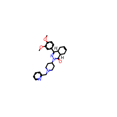 COc1ccc(C2=NN(C3CCN(Cc4ccccn4)CC3)C(=O)[C@@H]3CC=CC[C@H]23)cc1OC